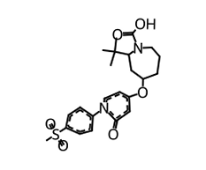 CC(C)(C)C1CC(Oc2ccn(-c3ccc(S(C)(=O)=O)cc3)c(=O)c2)CCCN1C(=O)O